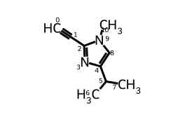 C#Cc1nc(C(C)C)cn1C